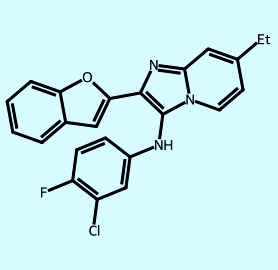 CCc1ccn2c(Nc3ccc(F)c(Cl)c3)c(-c3cc4ccccc4o3)nc2c1